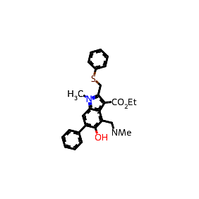 CCOC(=O)c1c(CSc2ccccc2)n(C)c2cc(-c3ccccc3)c(O)c(CNC)c12